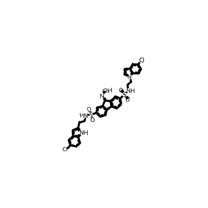 O=S(=O)(NCCc1cc2cc(Cl)ccc2[nH]1)c1ccc2c(c1)/C(=N/O)c1cc(S(=O)(=O)NCCn3ccc4cc(Cl)ccc43)ccc1-2